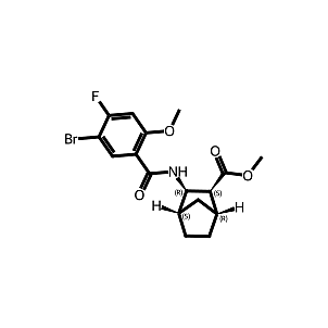 COC(=O)[C@H]1[C@@H]2CC[C@@H](C2)[C@H]1NC(=O)c1cc(Br)c(F)cc1OC